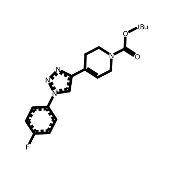 CC(C)(C)OC(=O)N1CC=C(c2cn(-c3ccc(F)cc3)nn2)CC1